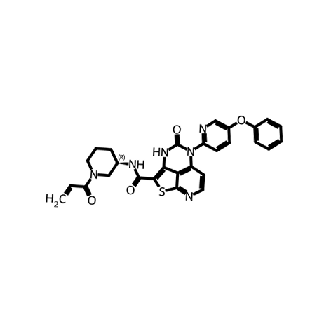 C=CC(=O)N1CCC[C@@H](NC(=O)c2sc3nccc4c3c2NC(=O)N4c2ccc(Oc3ccccc3)cn2)C1